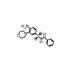 Nc1ccc(S(=O)(=O)NNc2ccccc2)cc1N1CCOCC1